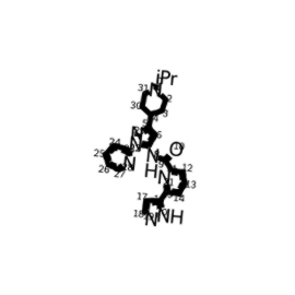 CC(C)N1CCC(c2cc(NC(=O)c3cccc(-c4ccn[nH]4)n3)n(-c3ccccn3)n2)CC1